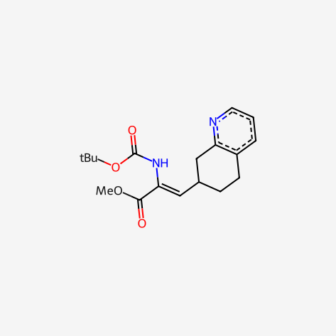 COC(=O)C(=CC1CCc2cccnc2C1)NC(=O)OC(C)(C)C